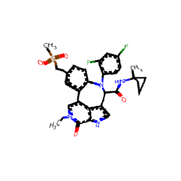 Cn1cc2c3c(c[nH]c3c1=O)C(C(=O)NC1(C)CC1)N(c1ccc(F)cc1F)c1ccc(CS(C)(=O)=O)cc1-2